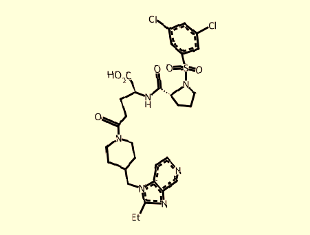 CCc1nc2cnccc2n1CC1CCN(C(=O)CC[C@H](NC(=O)[C@H]2CCCN2S(=O)(=O)c2cc(Cl)cc(Cl)c2)C(=O)O)CC1